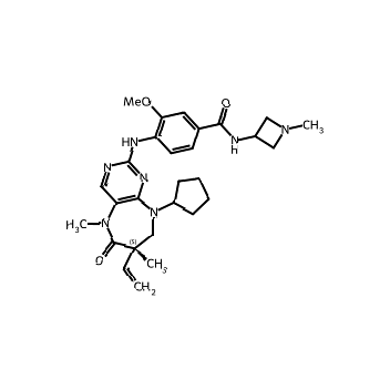 C=C[C@@]1(C)CN(C2CCCC2)c2nc(Nc3ccc(C(=O)NC4CN(C)C4)cc3OC)ncc2N(C)C1=O